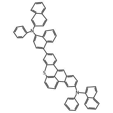 c1ccc(N(c2ccc3cc4c5c(cccc5c3c2)Sc2cc(-c3ccc(N(c5ccccc5)c5ccc6ccccc6c5)c5ccccc35)ccc2-4)c2cccc3ccccc23)cc1